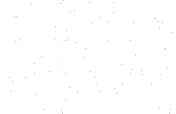 CCCCCCCCOS(=O)(=O)O.CCCCCCC[CH2][Na]